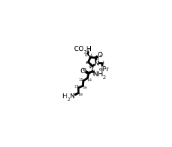 CC(C)CN1C(=O)[C@H](CC(=O)O)C[C@H]1C(N)C(=O)CCCCCN